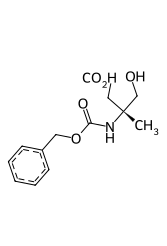 C[C@](CO)(CC(=O)O)NC(=O)OCc1ccccc1